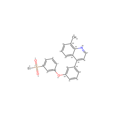 CCS(=O)(=O)c1cccc(Oc2cccc(-c3ccnc4c(C)cccc34)c2)c1